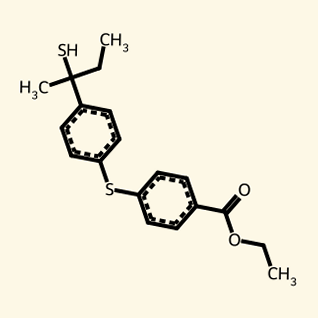 CCOC(=O)c1ccc(Sc2ccc(C(C)(S)CC)cc2)cc1